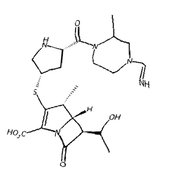 CC(O)[C@H]1C(=O)N2C(C(=O)O)=C(S[C@@H]3CN[C@H](C(=O)N4CCN(C=N)CC4C)C3)[C@H](C)[C@H]12